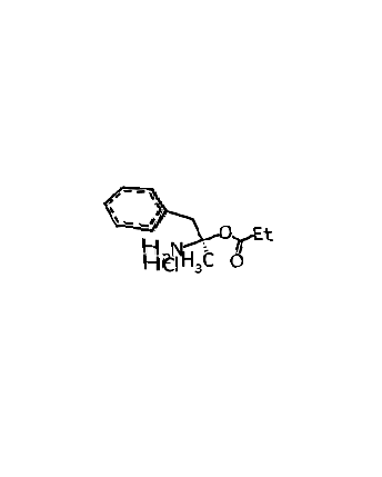 CCC(=O)O[C@@](C)(N)Cc1ccccc1.Cl